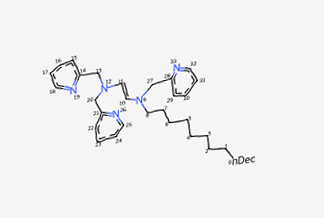 CCCCCCCCCCCCCCCCCCN(/C=C/N(Cc1ccccn1)Cc1ccccn1)Cc1ccccn1